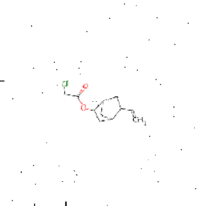 C=CC1CC2CC1CC2OC(=O)CCl